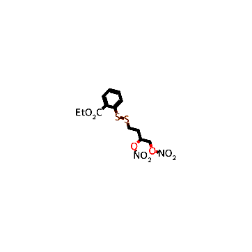 CCOC(=O)c1ccccc1SSCCC(CO[N+](=O)[O-])O[N+](=O)[O-]